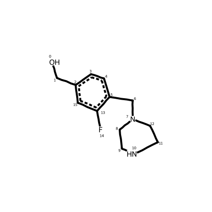 OCc1ccc(CN2CCNCC2)c(F)c1